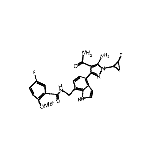 COc1ccc(F)cc1C(=O)NCc1ccc(-c2nn(C3CC3F)c(N)c2C(N)=O)c2cc[nH]c12